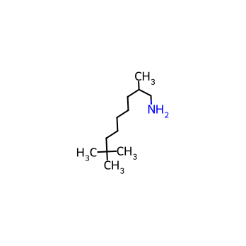 CC(CN)CCCCCC(C)(C)C